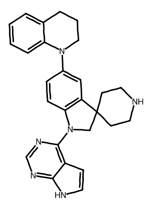 c1ccc2c(c1)CCCN2c1ccc2c(c1)C1(CCNCC1)CN2c1ncnc2[nH]ccc12